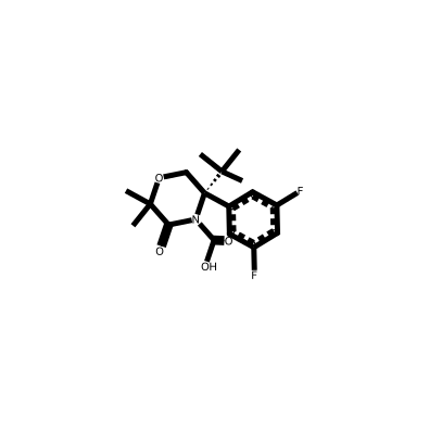 CC1(C)OC[C@](c2cc(F)cc(F)c2)(C(C)(C)C)N(C(=O)O)C1=O